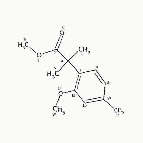 COC(=O)C(C)(C)c1ccc(C)cc1OC